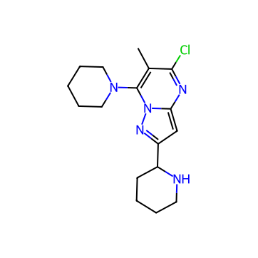 Cc1c(Cl)nc2cc(C3CCCCN3)nn2c1N1CCCCC1